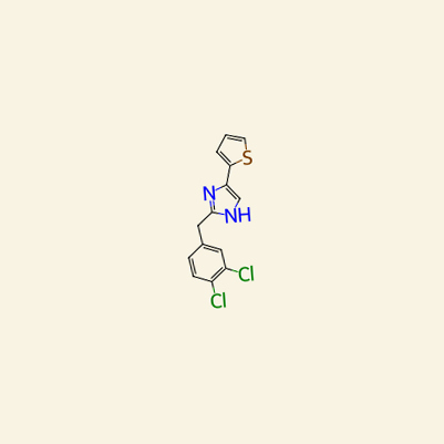 Clc1ccc(Cc2nc(-c3cccs3)c[nH]2)cc1Cl